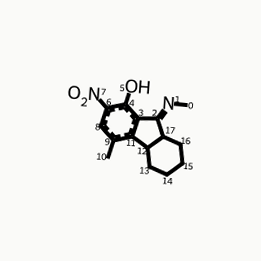 CN=C1c2c(O)c([N+](=O)[O-])cc(C)c2C2CCCCC12